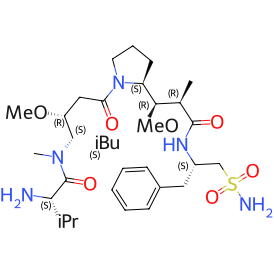 CC[C@H](C)[C@@H]([C@@H](CC(=O)N1CCC[C@H]1[C@H](OC)[C@@H](C)C(=O)N[C@@H](Cc1ccccc1)CS(N)(=O)=O)OC)N(C)C(=O)[C@@H](N)C(C)C